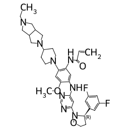 C=CC(=O)Nc1cc(Nc2cc(N3OCC[C@@H]3c3cc(F)cc(F)c3)ncn2)c(OC)cc1N1CCC(N2CC3CN(CC)CC3C2)CC1